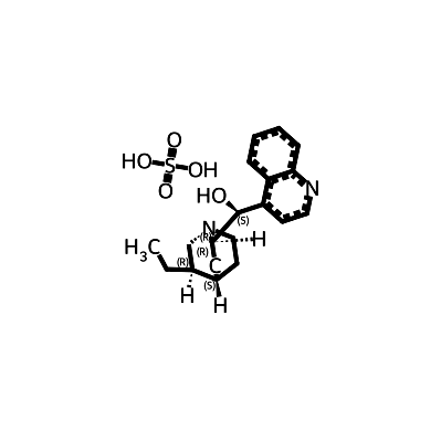 CC[C@H]1C[N@]2CC[C@H]1C[C@@H]2[C@@H](O)c1ccnc2ccccc12.O=S(=O)(O)O